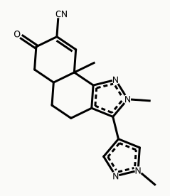 Cn1cc(-c2c3c(nn2C)C2(C)C=C(C#N)C(=O)CC2CC3)cn1